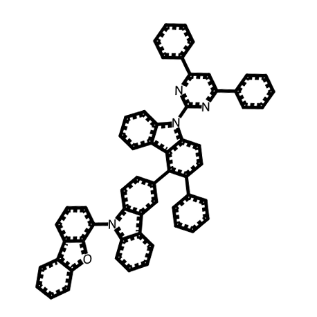 c1ccc(-c2cc(-c3ccccc3)nc(-n3c4ccccc4c4c(-c5ccc6c(c5)c5ccccc5n6-c5cccc6c5oc5ccccc56)c(-c5ccccc5)ccc43)n2)cc1